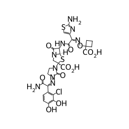 NC(=O)/C(=N\N1CCN([C@]2(C(=O)O)CN3C(=O)[C@@H](NC(=O)/C(=N\OC4(C(=O)O)CCC4)c4csc(N)n4)[C@H]3S2)C1=O)c1ccc(O)c(O)c1Cl